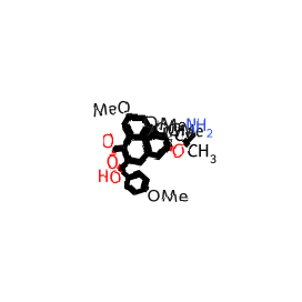 COc1ccc(C2(O)OC(=O)C(c3cc(OC)cc(OC)c3)=C2Cc2cc(OC)c(OC)c(OC(C)(C)CN)c2)cc1